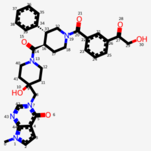 Cn1ccc2c(=O)n(CC3(O)CCN(C(=O)[C@@H]4CCN(C(=O)c5cccc(C(=O)CO)c5)C[C@H]4c4ccccc4)CC3)cnc21